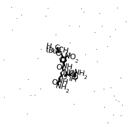 CC(C)[C@H](OC(N)=O)C(=O)N[C@@H](CCCNC(N)=O)C(=O)Nc1ccc(CO[Si](C)(C)C(C)(C)C)c([N+](=O)[O-])c1